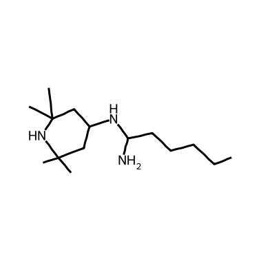 CCCCCC(N)NC1CC(C)(C)NC(C)(C)C1